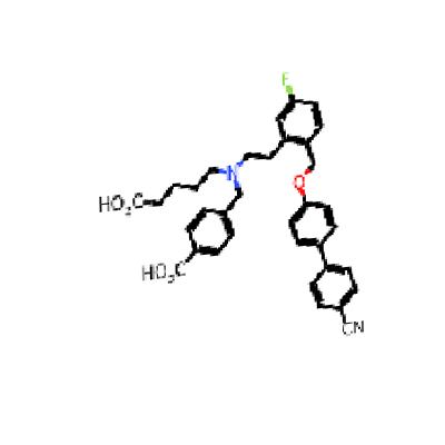 N#Cc1ccc(-c2ccc(OCc3ccc(F)cc3CCN(CCCCC(=O)O)Cc3ccc(C(=O)O)cc3)cc2)cc1